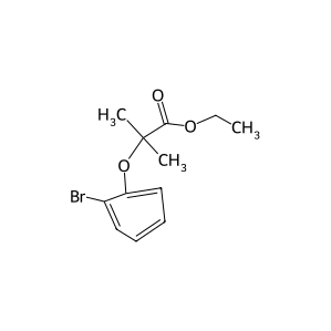 CCOC(=O)C(C)(C)Oc1ccccc1Br